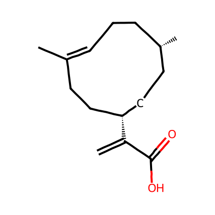 C=C(C(=O)O)[C@@H]1CC/C(C)=C/CC[C@H](C)CC1